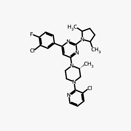 CC1CCC(C)N1c1nc(-c2ccc(F)c(Cl)c2)cc(N2CCN(c3ncccc3Cl)C[C@H]2C)n1